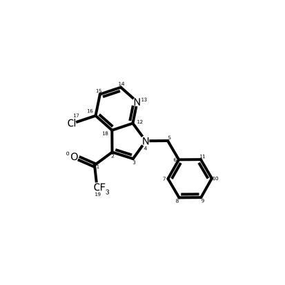 O=C(c1cn(Cc2ccccc2)c2nccc(Cl)c12)C(F)(F)F